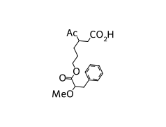 COC(Cc1ccccc1)C(=O)OCCCC(CC(=O)O)C(C)=O